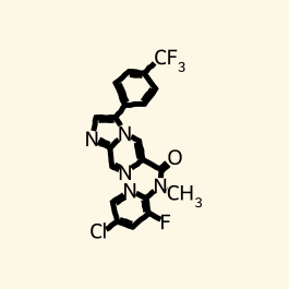 CN(C(=O)c1cn2c(-c3ccc(C(F)(F)F)cc3)cnc2cn1)c1ncc(Cl)cc1F